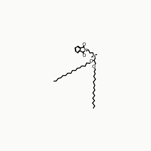 CCCCCCCCCCCCCCCCOCC(C[N+](C)(C)CCCN1C(=O)c2ccccc2C1=O)OCCCCCCCCCCCCCCCC